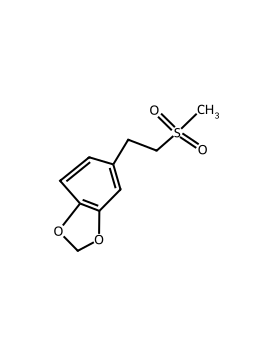 CS(=O)(=O)CCc1ccc2c(c1)OCO2